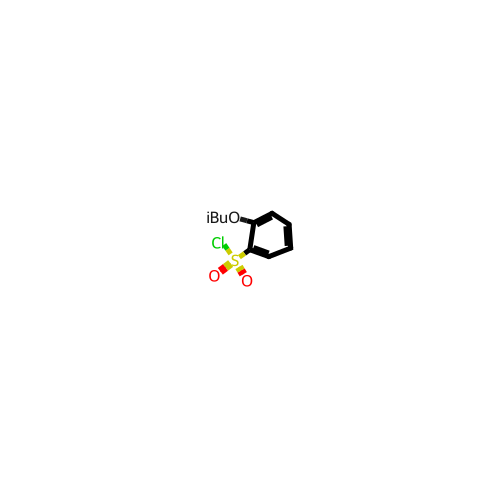 CC(C)COc1ccccc1S(=O)(=O)Cl